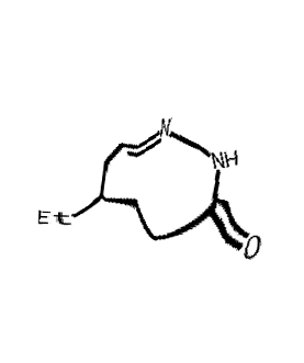 CCC1C=NNC(=O)C1